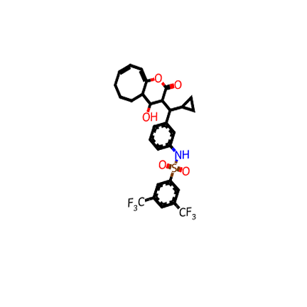 O=C1OC2=CC=CCCCC2C(O)C1C(c1cccc(NS(=O)(=O)c2cc(C(F)(F)F)cc(C(F)(F)F)c2)c1)C1CC1